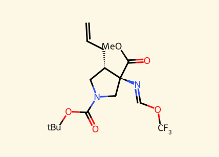 C=CC[C@H]1CN(C(=O)OC(C)(C)C)C[C@@]1(N=COC(F)(F)F)C(=O)OC